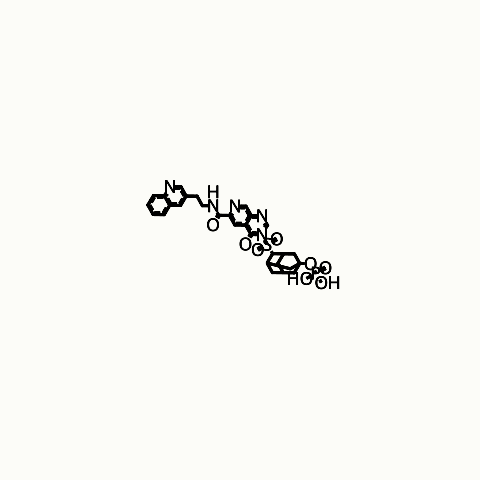 O=C(NCCc1cnc2ccccc2c1)c1cc2c(=O)n(S(=O)(=O)C3C4CC5CC3CC(OP(=O)(O)O)(C5)C4)cnc2cn1